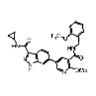 COc1ncc(-c2ccc3c(C(=O)NC4CC4)n[nH]c3c2)cc1C(=O)NCc1ccccc1OC(F)(F)F